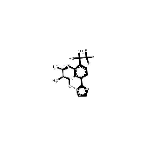 CCC(C)/C(C)=N\c1c(C(C)(O)C(F)(F)F)ccc(-c2nccs2)c1C